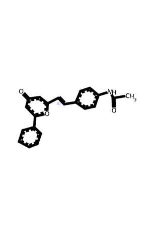 CC(=O)Nc1ccc(/C=C/c2cc(=O)cc(-c3ccccc3)o2)cc1